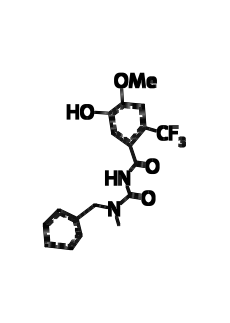 COc1cc(C(F)(F)F)c(C(=O)NC(=O)N(C)Cc2ccccc2)cc1O